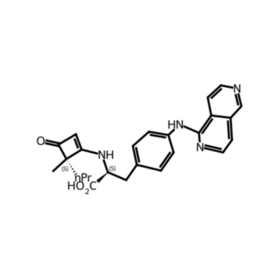 CCC[C@]1(C)C(=O)C=C1N[C@@H](Cc1ccc(Nc2nccc3cnccc23)cc1)C(=O)O